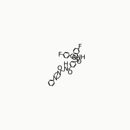 O=C(NCC(=O)N1CCN(c2ccccc2)CC1)c1ccc(S(=O)(=O)Nc2cc(F)ccc2Oc2ccc(F)cc2)cc1